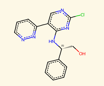 OC[C@@H](Nc1nc(Cl)ncc1-c1cccnn1)c1ccccc1